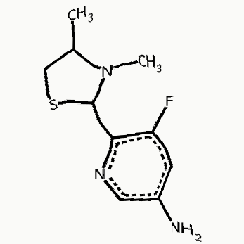 CC1CSC(c2ncc(N)cc2F)N1C